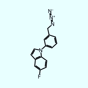 [N-]=[N+]=NCc1cccc(-n2ccc3cc(F)ccc32)c1